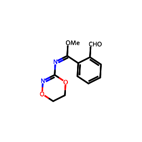 COC(=NC1=NOCCO1)c1ccccc1C=O